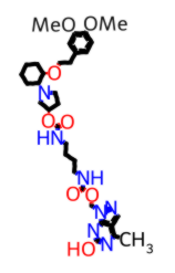 COc1ccc(CCO[C@@H]2CCCC[C@H]2N2CC[C@@H](OC(=O)NCCCCNC(=O)OCn3ncc4c(C)nc(O)nc43)C2)cc1OC